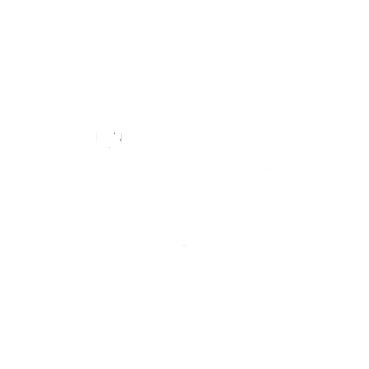 Nc1ccc(Br)c(C(F)F)c1